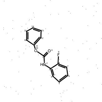 O=C(Nc1ccccc1F)Oc1ccccc1